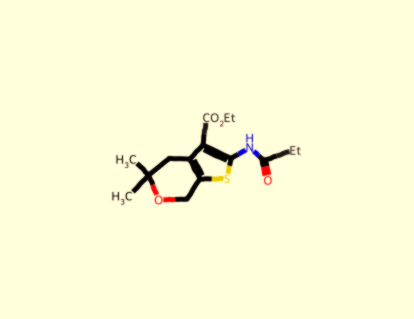 CCOC(=O)c1c(NC(=O)CC)sc2c1CC(C)(C)OC2